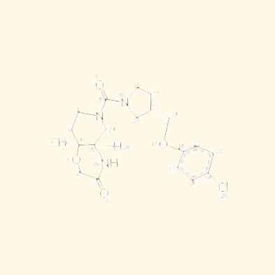 O=C1CO[C@H]2CCN(C(=O)N3CC[C@H](COc4ccc(Cl)cc4)C3)C[C@H]2N1